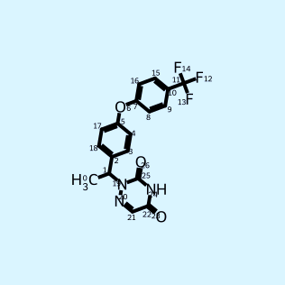 CC(c1ccc(Oc2ccc(C(F)(F)F)cc2)cc1)n1ncc(=O)[nH]c1=O